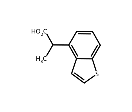 CC(C(=O)O)c1cccc2sccc12